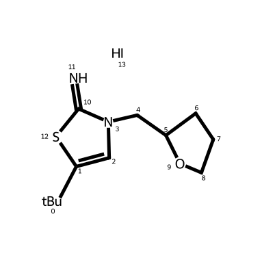 CC(C)(C)c1cn(CC2CCCO2)c(=N)s1.I